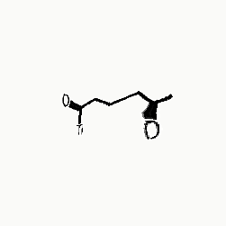 CC(=O)CCC[C](=O)[Ti]